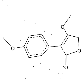 COC1=C(c2ccc(OC)cc2)C(=O)OC1